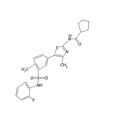 Cc1ccc(-c2sc(NC(=O)C3CCCC3)nc2C)cc1S(=O)(=O)Nc1ccccc1F